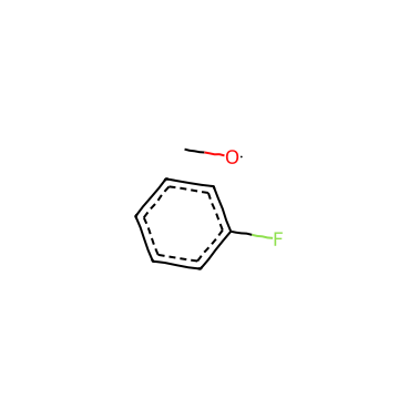 C[O].Fc1ccccc1